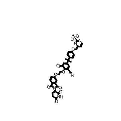 CC(C)(c1ccc(OCc2ccnc(S(C)(=O)=O)n2)cc1)c1cc(Cl)c(OCCOc2ccc3c(c2)C(=O)N(C2CCC(=O)NC2=O)C3=O)c(C#N)c1